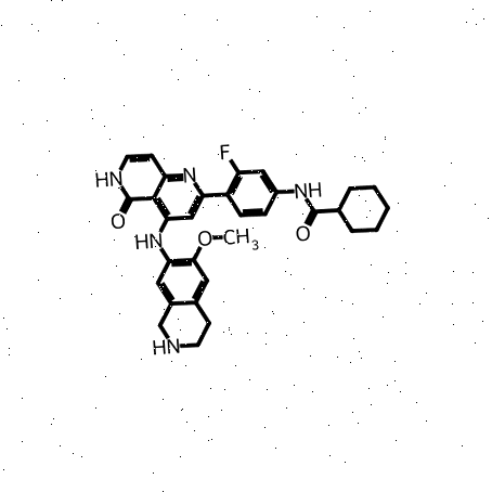 COc1cc2c(cc1Nc1cc(-c3ccc(NC(=O)C4CCCCC4)cc3F)nc3cc[nH]c(=O)c13)CNCC2